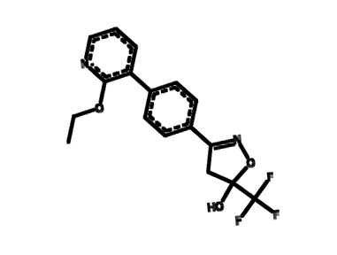 CCOc1ncccc1-c1ccc(C2=NOC(O)(C(F)(F)F)C2)cc1